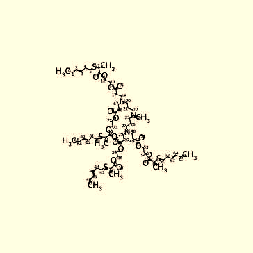 CC/C=C/CCSC(C)C(=O)OCCOC(=O)CCN(CCCN(C)CCCN(CCC(=O)OCCOC(=O)C(C)SCC/C=C/CC)CCC(=O)OCCOC(=O)C(C)SCC/C=C/CC)CCC(=O)OCCOC(=O)C(C)SCC/C=C/CC